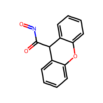 O=NC(=O)C1c2ccccc2Oc2ccccc21